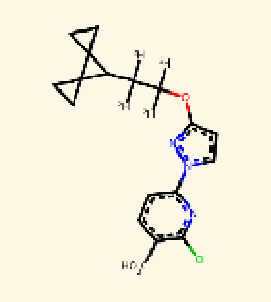 [2H]C([2H])(Oc1ccn(-c2ccc(C(=O)O)c(Cl)n2)n1)C([2H])([2H])C1C2(CC2)C12CC2